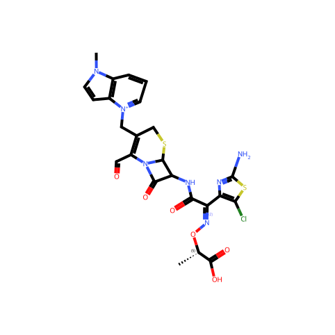 C[C@H](O/N=C(\C(=O)NC1C(=O)N2C(C=O)=C(C[n+]3cccc4c3ccn4C)CSC12)c1nc(N)sc1Cl)C(=O)O